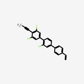 C=Cc1ccc(-c2ccc(-c3cc(F)c(C#CC(F)(F)F)c(F)c3)c(F)c2)cc1